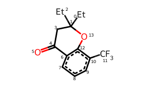 CCC1(CC)CC(=O)c2cccc(C(F)(F)F)c2O1